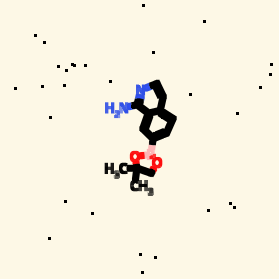 CC1(C)COB(c2ccc3ccnc(N)c3c2)O1